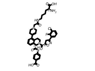 N[C@@H](CCCCNC(=O)CN1CC=C(c2cccc3c2CCN(C(=O)[C@H]2CC(c4cccc(Cl)c4F)=NO2)[C@@H]3C(=O)Nc2ccc(C(=O)O)cc2)CC1)C(=O)O